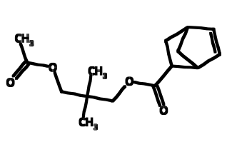 CC(=O)OCC(C)(C)COC(=O)C1CC2C=CC1C2